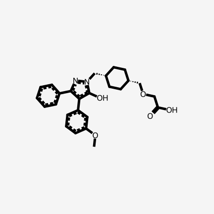 COc1cccc(-c2c(-c3ccccc3)nn(C[C@H]3CC[C@@H](COCC(=O)O)CC3)c2O)c1